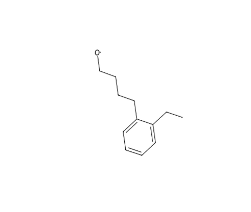 CCc1ccccc1CCCC[O]